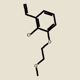 C=Cc1cccc(OCCOC)c1Cl